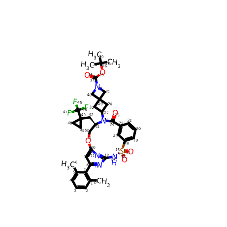 Cc1cccc(C)c1-c1cc2nc(n1)NS(=O)(=O)c1cccc(c1)C(=O)N(C1CC3(C1)CN(C(=O)OC(C)(C)C)C3)[C@H](CC1(C(F)(F)F)CC1)CO2